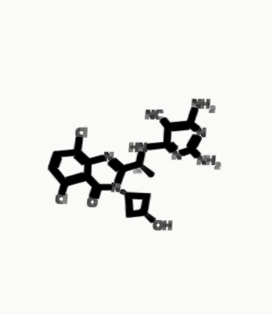 C[C@H](Nc1nc(N)nc(N)c1C#N)c1nc2c(Cl)ccc(Cl)c2c(=O)n1[C@H]1C[C@H](O)C1